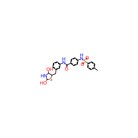 Cc1ccc(S(=O)(=O)Nc2ccc(C(=O)Nc3cccc(CC4SC(O)NC4O)c3)cc2)cc1